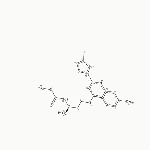 COc1ccc2c(OCC[C@H](NC(=O)OC(C)(C)C)C(=O)O)cc(-n3ccc(C)n3)nc2c1